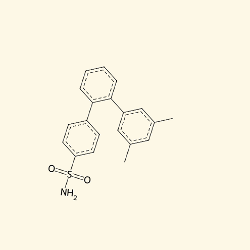 Cc1cc(C)cc(-c2ccccc2-c2ccc(S(N)(=O)=O)cc2)c1